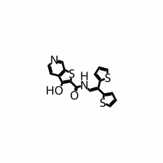 O=C(NC=C(c1cccs1)c1cccs1)c1sc2cnccc2c1O